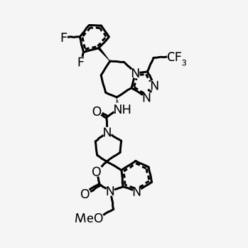 COCN1C(=O)OC2(CCN(C(=O)N[C@@H]3CC[C@@H](c4cccc(F)c4F)Cn4c(CC(F)(F)F)nnc43)CC2)c2cccnc21